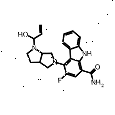 C=CC(O)N1CCC2CN(c3c(F)cc(C(N)=O)c4[nH]c5ccccc5c34)CC21